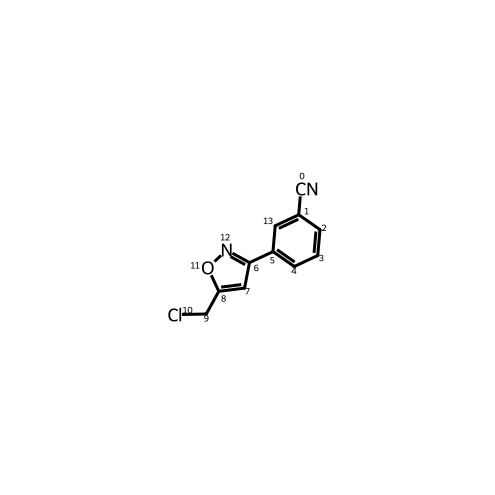 N#Cc1cccc(-c2cc(CCl)on2)c1